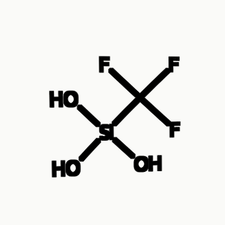 O[Si](O)(O)C(F)(F)F